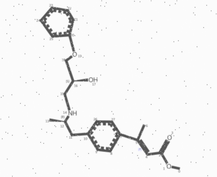 COC(=O)/C=C(\C)c1ccc(C[C@@H](C)NC[C@H](O)COc2ccccc2)cc1